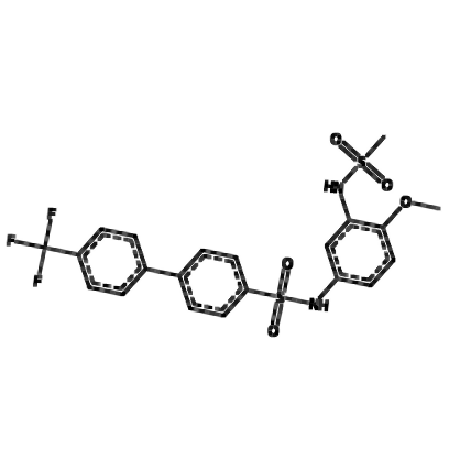 COc1ccc(NS(=O)(=O)c2ccc(-c3ccc(C(F)(F)F)cc3)cc2)cc1NS(C)(=O)=O